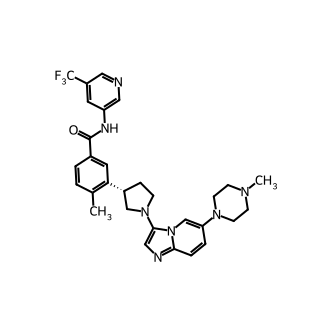 Cc1ccc(C(=O)Nc2cncc(C(F)(F)F)c2)cc1[C@@H]1CCN(c2cnc3ccc(N4CCN(C)CC4)cn23)C1